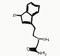 CCC1C=C(CCN(O)C(N)=O)c2ccccc21